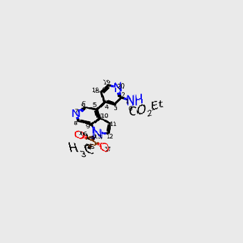 CCOC(=O)Nc1cc(-c2cncc3c2ccn3S(C)(=O)=O)ccn1